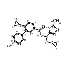 Cc1nc(C(CC2CC2)NC(=O)c2ccc(C3CC3)c(-c3ccc(F)nc3)c2)no1